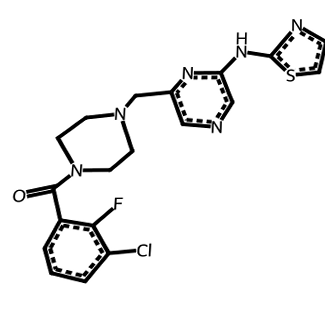 O=C(c1cccc(Cl)c1F)N1CCN(Cc2cncc(Nc3nccs3)n2)CC1